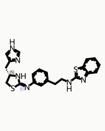 c1cc(CCNc2nc3ccccc3s2)cc(/N=C2\N[C@@H](Cc3c[nH]cn3)CS2)c1